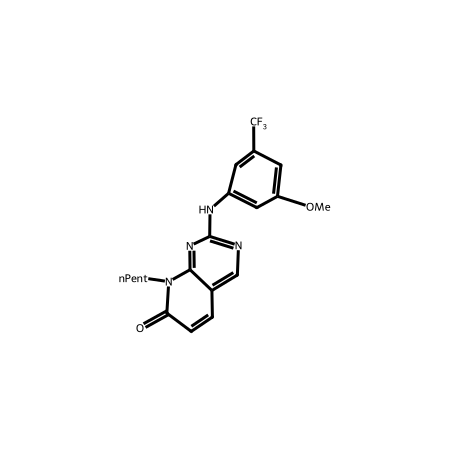 CCCCCn1c(=O)ccc2cnc(Nc3cc(OC)cc(C(F)(F)F)c3)nc21